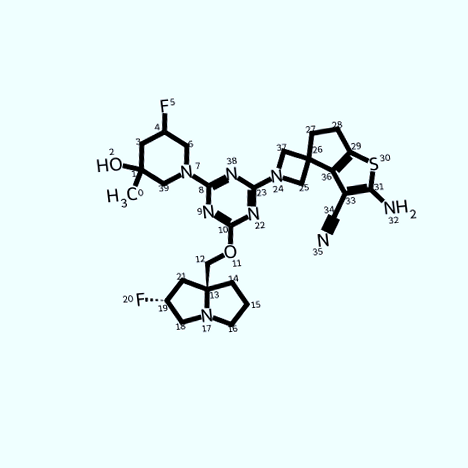 CC1(O)CC(F)CN(c2nc(OC[C@@]34CCCN3C[C@H](F)C4)nc(N3CC4(CCc5sc(N)c(C#N)c54)C3)n2)C1